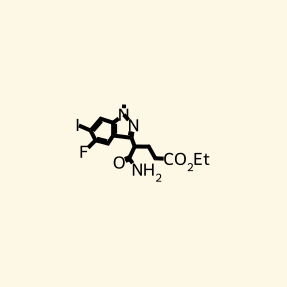 CCOC(=O)CCC(C(N)=O)c1nn(C)c2cc(I)c(F)cc12